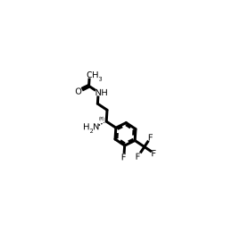 CC(=O)NCC[C@@H](N)c1ccc(C(F)(F)F)c(F)c1